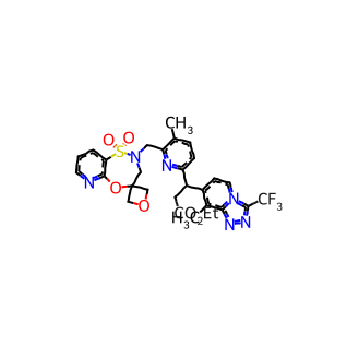 CCOC(=O)CC(c1ccc(C)c(CN2CC3(COC3)Oc3ncccc3S2(=O)=O)n1)c1ccn2c(C(F)(F)F)nnc2c1C